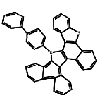 c1ccc(-c2ccc(-n3c4c5ccccc5c5ccccc5c4c4c5ccccc5c5sc6ccccc6c5c43)cc2)cc1